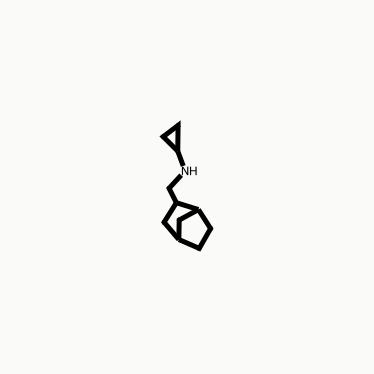 C1CC2CC1CC2CNC1CC1